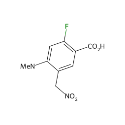 CNc1cc(F)c(C(=O)O)cc1C[N+](=O)[O-]